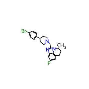 CC1CCc2cc(F)cc3nc(CN4CCC(c5ccc(Br)cc5)CC4)n1c23